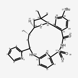 C[C@H]1CC(c2ccccn2)Nc2cccc(n2)S(=O)(=O)NC(=O)c2ccc(C(C)(C)C)nc2N2C[C@@H]1CC2(C)C